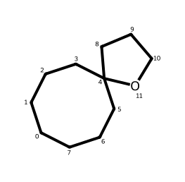 C1CCCC2(CCC1)CCCO2